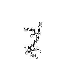 NP(N)(N)=O.[N-]=[N+]=NP(=O)(N=[N+]=[N-])N=[N+]=[N-]